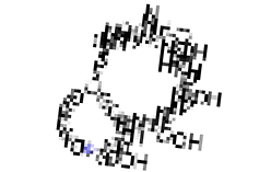 C[C@@H](O)[C@@H]1NC(=O)[C@H](CC(=O)O)NC(=O)[C@@H]2CCCN2C(=O)[C@H](Cc2ccc(O)cc2)NC(=O)[C@@H]2CSCc3cc(cc(c3)OCCCCCCO/N=C/C(=O)N[C@@H](CC(=O)O)C(=O)N2)CSC[C@@H](C(N)=O)NC(=O)[C@H](Cc2cnc[nH]2)NC(=O)[C@H](Cc2ccccc2)NC1=O